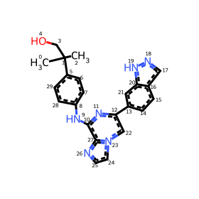 CC(C)(CO)c1ccc(Nc2nc(-c3ccc4cn[nH]c4c3)cn3ccnc23)cc1